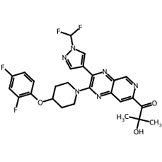 CC(C)(O)C(=O)c1cc2nc(N3CCC(Oc4ccc(F)cc4F)CC3)c(-c3cnn(C(F)F)c3)nc2cn1